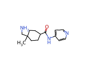 CC1(CN)CCC(C(=O)Nc2ccncc2)CC1